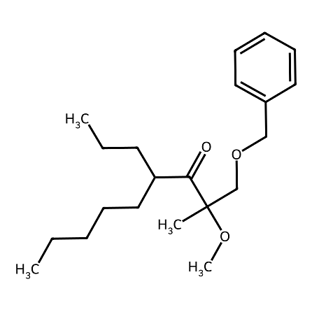 CCCCCC(CCC)C(=O)C(C)(COCc1ccccc1)OC